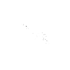 Cc1ccc(Sn2ccc3c(-c4ccc(OCCC5CCN(C(=O)OC(C)(C)C)CC5)c(C(F)(F)F)c4)nc(Cl)nc32)cc1